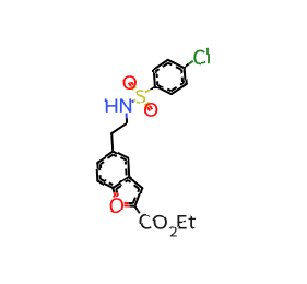 CCOC(=O)c1cc2cc(CCNS(=O)(=O)c3ccc(Cl)cc3)ccc2o1